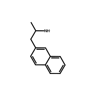 CC([NH])Cc1ccc2ccccc2c1